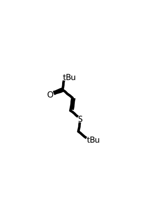 CC(C)(C)CSC=CC(=O)C(C)(C)C